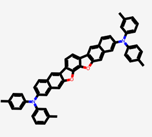 Cc1ccc(N(c2cccc(C)c2)c2ccc3cc4c(cc3c2)oc2c4ccc3c4cc5ccc(N(c6ccc(C)cc6)c6cccc(C)c6)cc5cc4oc32)cc1